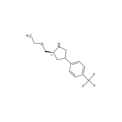 CCOC[C@@H]1CC(c2ccc(C(F)(F)F)cc2)CN1